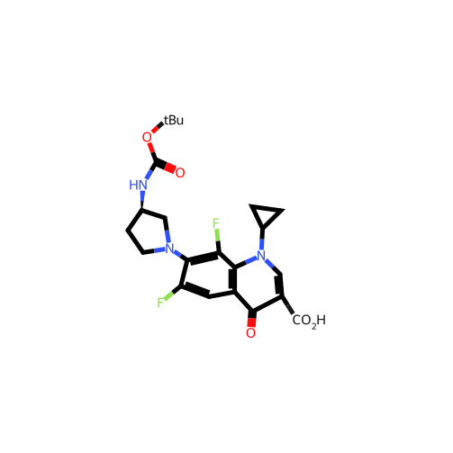 CC(C)(C)OC(=O)N[C@@H]1CCN(c2c(F)cc3c(=O)c(C(=O)O)cn(C4CC4)c3c2F)C1